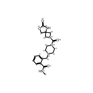 CNC(=O)c1ccccc1CN1CCN(C(=O)N2CC3(COC(=O)N3)C2)CC1